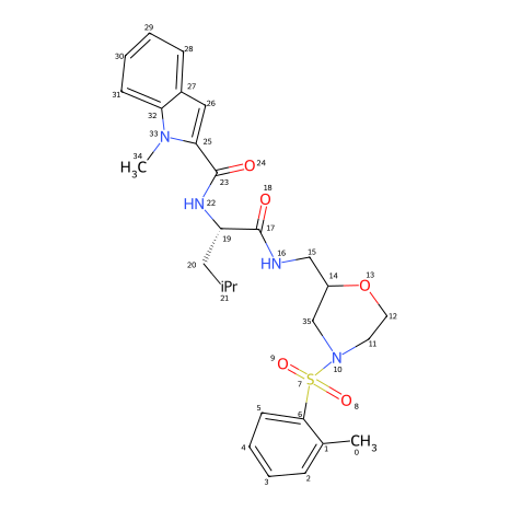 Cc1ccccc1S(=O)(=O)N1CCOC(CNC(=O)[C@H](CC(C)C)NC(=O)c2cc3ccccc3n2C)C1